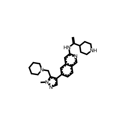 C=C(Nc1cc2cc(-c3cnn(C)c3CN3CCCCC3)ccc2cn1)C1CCNCC1